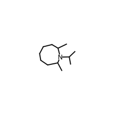 CC(C)N1C(C)CCCCCC1C